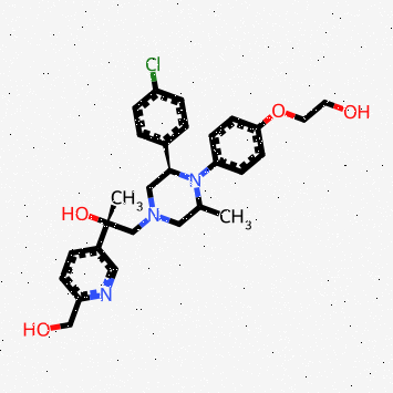 CC1CN(C[C@@](C)(O)c2ccc(CO)nc2)C[C@@H](c2ccc(Cl)cc2)N1c1ccc(OCCO)cc1